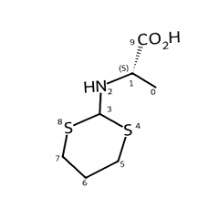 C[C@H](NC1SCCCS1)C(=O)O